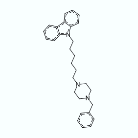 c1ccc(CN2CCN(CCCCCCn3c4ccccc4c4ccccc43)CC2)cc1